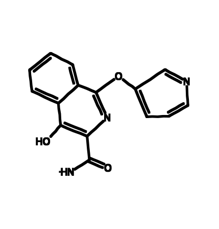 [NH]C(=O)c1nc(Oc2cccnc2)c2ccccc2c1O